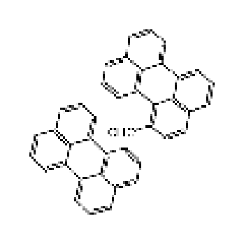 O=Cc1ccc2cccc3c4cccc5cccc(c1c23)c54.c1cc2cccc3c4cccc5cccc(c(c1)c23)c54